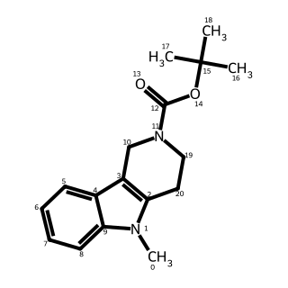 Cn1c2c(c3ccccc31)CN(C(=O)OC(C)(C)C)CC2